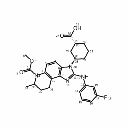 COC(=O)N1c2ccc3c(nc(Nc4cccc(F)c4)n3[C@@H]3CCC[C@@H](C(=O)O)C3)c2CCC1C